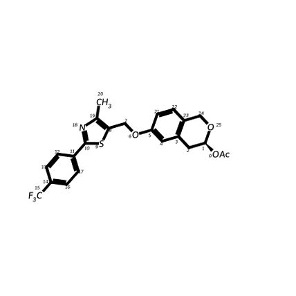 CC(=O)O[C@H]1Cc2cc(OCc3sc(-c4ccc(C(F)(F)F)cc4)nc3C)ccc2CO1